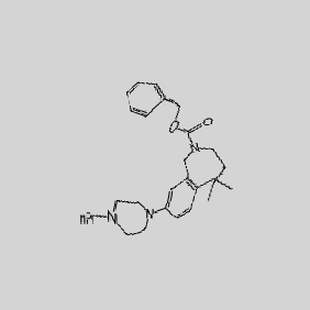 CCCN1CCN(c2ccc3c(c2)CN(C(=O)OCc2ccccc2)CCC3(C)C)CC1